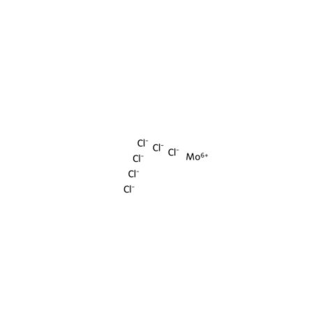 [Cl-].[Cl-].[Cl-].[Cl-].[Cl-].[Cl-].[Mo+6]